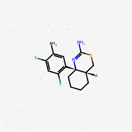 Bc1cc([C@]23CCCC[C@H]2CSC(N)=N3)c(F)cc1F